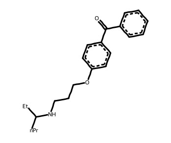 CCCC(CC)NCCCOc1ccc(C(=O)c2ccccc2)cc1